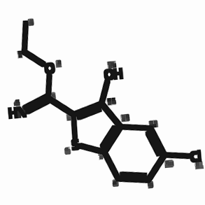 CCOC(=N)c1sc2ccc(Cl)cc2c1O